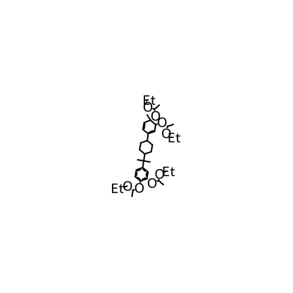 CCOC(C)Oc1ccc(C(C)(C)C2CCC(C3=CC(OC(C)OCC)C(C)(OC(C)OCC)C=C3)CC2)cc1OC(C)OCC